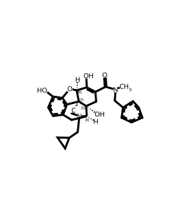 CN(Cc1ccccc1)C(=O)C1=C(O)[C@@H]2Oc3c(O)ccc4c3[C@@]23CCN(CC2CC2)[C@H](C4)[C@]3(O)C1